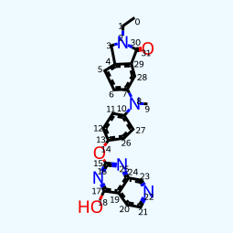 CCN1Cc2ccc(N(C)c3ccc(Oc4nc(O)c5ccncc5n4)cc3)cc2C1=O